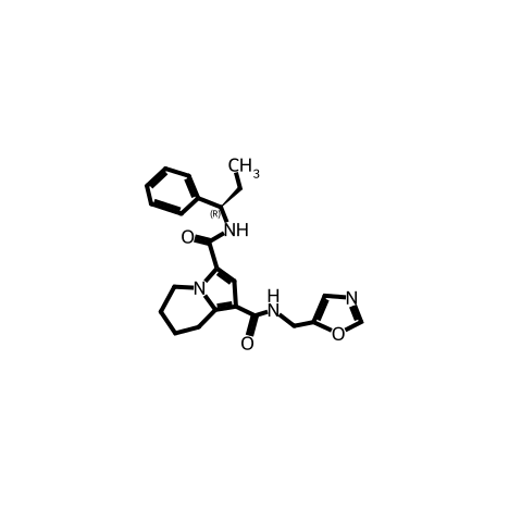 CC[C@@H](NC(=O)c1cc(C(=O)NCc2cnco2)c2n1CCCC2)c1ccccc1